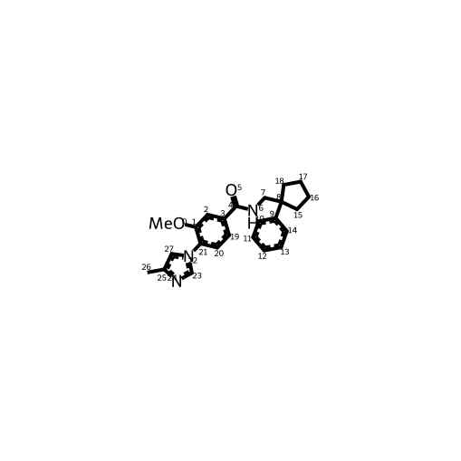 COc1cc(C(=O)NCC2(c3ccccc3)CCCC2)ccc1-n1cnc(C)c1